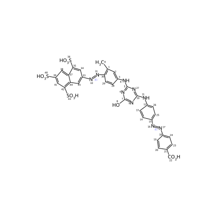 Cc1cc(Nc2nc(O)nc(Nc3ccc(/N=N/c4ccc(C(=O)O)cc4)cc3)n2)ccc1/N=N/c1cc(S(=O)(=O)O)c2cc(S(=O)(=O)O)cc(S(=O)(=O)O)c2c1